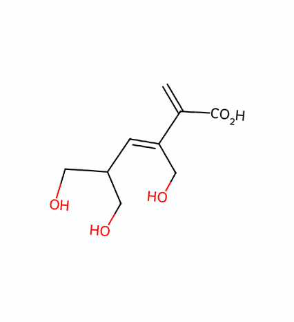 C=C(C(=O)O)C(=CC(CO)CO)CO